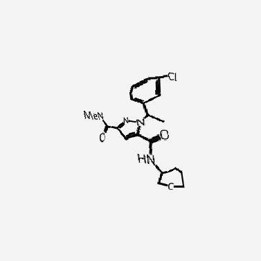 CNC(=O)c1cc(C(=O)NC2CCCCC2)n(C(C)c2cccc(Cl)c2)n1